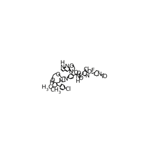 CC1(C)CC(c2ccc(Cl)cc2)=C2CN3CCN(c4ccc(C(=O)NS(=O)(=O)c5cnc(OCC6(F)CCN(C7COC7)CC6)c(Cl)c5)c(N5CCCOc6nc7[nH]ccc7cc65)c4)CC3COCCCO[C@@H]2C1